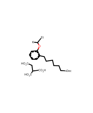 CCCCCCCCCCCCCCCCc1ccccc1O[CH]([K])CC.O=C(O)CC(C(=O)O)S(=O)(=O)O